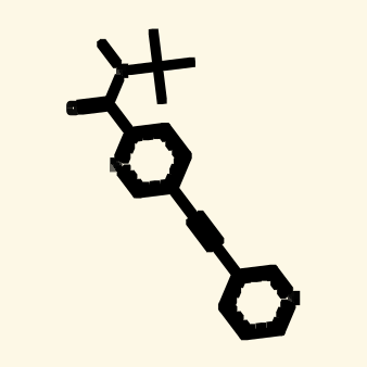 CN(C(=O)c1ccc(C#Cc2cccnc2)cn1)C(C)(C)C